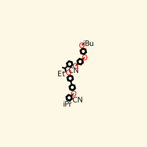 CCC(C)Oc1ccc(Oc2ccc(Oc3cccc(C(C)C(CC)Oc4ccc(-c5ccc(Oc6cccc(C(C)C)c6C#N)cc5)cc4)c3C#N)cc2)cc1